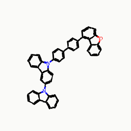 c1ccc2c(c1)oc1cccc(-c3ccc(-c4ccc(-n5c6ccccc6c6cc(-n7c8ccccc8c8ccccc87)ccc65)cc4)cc3)c12